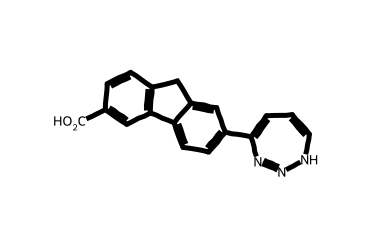 O=C(O)c1ccc2c(c1)-c1ccc(C3=CC=CNN=N3)cc1C2